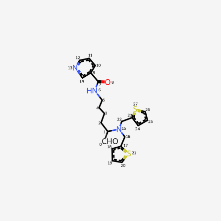 O=C[C](CCCCNC(=O)c1cccnc1)N(Cc1cccs1)Cc1cccs1